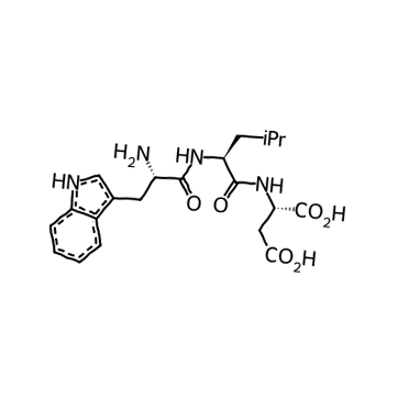 CC(C)C[C@H](NC(=O)[C@@H](N)Cc1c[nH]c2ccccc12)C(=O)N[C@@H](CC(=O)O)C(=O)O